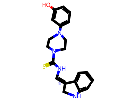 Oc1cccc(N2CCN(C(=S)N/C=C3/CNc4ccccc43)CC2)c1